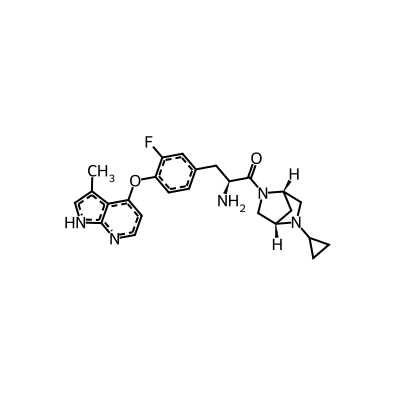 Cc1c[nH]c2nccc(Oc3ccc(C[C@H](N)C(=O)N4C[C@@H]5C[C@H]4CN5C4CC4)cc3F)c12